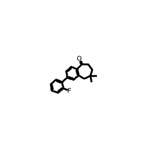 CC1(C)CCC(=O)c2ccc(-c3ccccc3F)cc2C1